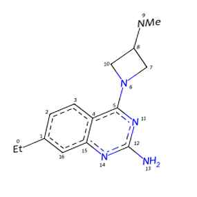 CCc1ccc2c(N3CC(NC)C3)nc(N)nc2c1